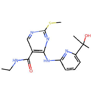 CCNC(=O)c1cnc(SC)nc1Nc1cccc(C(C)(C)O)n1